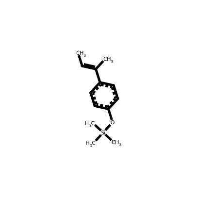 C[C]=C(C)c1ccc(O[Si](C)(C)C)cc1